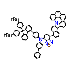 CC(C)(C)c1ccc(C2(c3ccc(C(C)(C)C)cc3)c3ccccc3-c3c(-c4ccc(N(c5ccc(-c6ccccc6)cc5)c5ccc(-c6cccc7c6ccc6c7c7ccccc7n6-c6cccc7ccc8ccccc8c67)c6nsnc56)cc4)cccc32)cc1